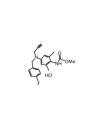 C#CCN(Cc1ccc(F)cc1)c1cc(C)c(NC(=O)OC)c(C)c1.Cl